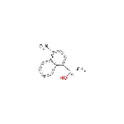 C[C@H](O)c1ccc([N+](=O)[O-])c2ccccc12